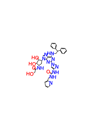 O=C(CO)N[C@H]1C[C@@H](n2cnc3c(NCC(c4ccccc4)c4ccccc4)nc(-n4cnc(NC(=O)NCc5ccccn5)c4)nc32)[C@H](O)[C@@H]1O